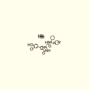 Br.Br.CN1CCN(C[C@@H](NC(=O)C[C@@H]2CNC(=O)c3cc(-c4ccc(O)c(Cl)c4)cn32)C2CCCCC2)CC1